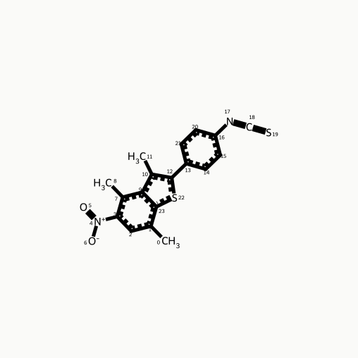 Cc1cc([N+](=O)[O-])c(C)c2c(C)c(-c3ccc(N=C=S)cc3)sc12